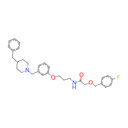 O=C(COCc1ccc(F)cc1)NCCCOc1cccc(CN2CCC(Cc3ccccc3)CC2)c1